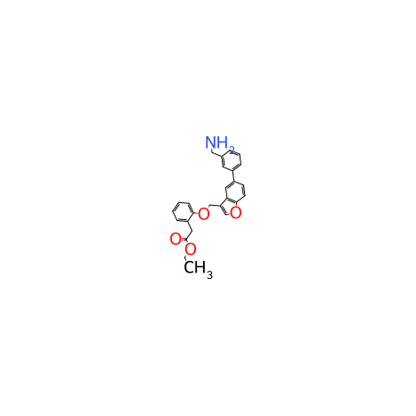 CCOC(=O)Cc1ccccc1OCc1coc2ccc(-c3cccc(CN)c3)cc12